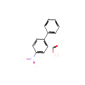 O=CO.O=[N+]([O-])c1ccc(-c2ccccc2)cc1